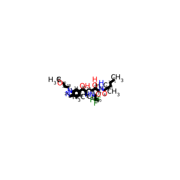 CCCCC(C)(C)C(=O)NC[C@H](O)[C@H](C[C@@H](C(C)C)C(O)c1ccc2cnn(CCCOC)c2c1)NC(=O)C(F)(F)F